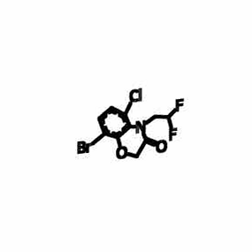 O=C1COc2c(Br)ccc(Cl)c2N1CC(F)F